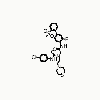 CS(=O)(=O)c1ccccc1-c1ccc(NC(=O)CN(CCN2CCSCC2)C(=O)Nc2ccc(Cl)cc2)c(F)c1